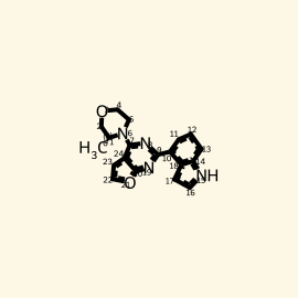 C[C@@H]1COCCN1c1nc(-c2cccc3[nH]ccc23)nc2occc12